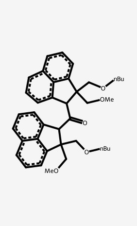 CCCCOCC1(COC)c2cccc3cccc(c23)C1C(=O)C1c2cccc3cccc(c23)C1(COC)COCCCC